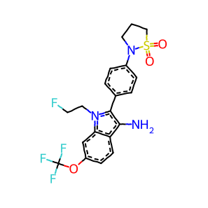 Nc1c(-c2ccc(N3CCCS3(=O)=O)cc2)n(CCF)c2cc(OC(F)(F)F)ccc12